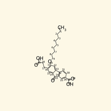 CCCCCCCCCCOc1cc2c(cc1CCC(=O)O)C(=O)c1cc(C(=O)O)ccc1-2